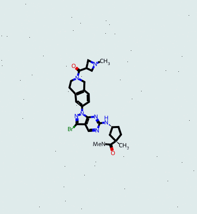 CNC(=O)[C@]1(C)CC[C@@H](Nc2ncc3c(Br)nn(-c4ccc5c(c4)CCN(C(=O)C4CN(C)C4)C5)c3n2)C1